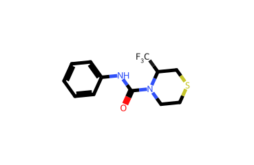 O=C(Nc1ccccc1)N1CCSCC1C(F)(F)F